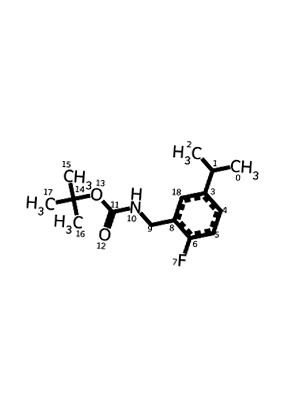 CC(C)c1ccc(F)c(CNC(=O)OC(C)(C)C)c1